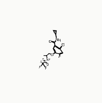 CC(COc1cc(C(=O)NC2CC2)c(Cl)cc1F)NS(=O)(=O)C(F)(F)F